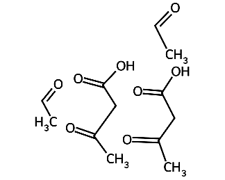 CC(=O)CC(=O)O.CC(=O)CC(=O)O.CC=O.CC=O